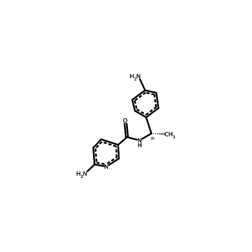 C[C@H](NC(=O)c1ccc(N)nc1)c1ccc(N)cc1